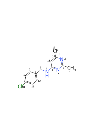 Cc1nc(NCc2ccc(Cl)cc2)cc(C(F)(F)F)n1